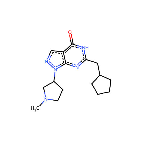 CN1CCC(n2ncc3c(=O)[nH]c(CC4CCCC4)nc32)C1